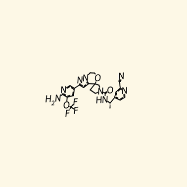 C[C@@H](NC(=O)N1CCC2(C1)OCCn1nc(-c3cnc(N)c(OC(F)(F)F)c3)cc12)c1ccnc(C#N)c1